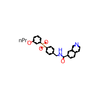 CCCOc1cccc(S(=O)(=O)c2ccc(CNC(=O)c3ccc4ccncc4c3)cc2)c1